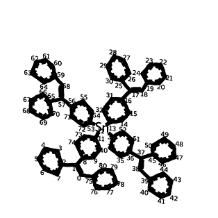 C(=C(c1ccccc1)c1cc[c]([Sn]([c]2ccc(C(=Cc3ccccc3)c3ccccc3)cc2)([c]2ccc(C(=Cc3ccccc3)c3ccccc3)cc2)[c]2ccc(C(=Cc3ccccc3)c3ccccc3)cc2)cc1)c1ccccc1